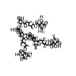 COC(OCC(C)CC(C)CC(=O)N1C[C@H](O)C[C@H]1COP(=O)(O)O[C@@H]1C[C@@H](COP(=O)(O)O[C@@H]2C[C@@H](COI)N(C(=O)CC(C)CC(C)(C)COC(OC)C(NC(C)=O)[C@H](O)C=O)C2)N(C(=O)CC(C)CC(C)COC(OC)C(NC(C)=O)[C@H](O)C=O)C1)C(NC(C)=O)[C@H](O)C=O